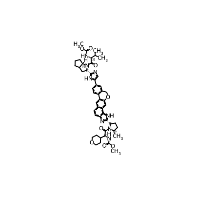 COC(=O)N[C@H](C(=O)N1[C@H](c2ncc(-c3ccc4c(c3)COc3cc5c(ccc6nc([C@@H]7CC[C@H](C)N7C(=O)[C@@H](NC(=O)OC)C7CCOCC7)[nH]c65)cc3-4)[nH]2)CC2CCC[C@@H]21)C(C)C